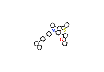 c1ccc(N(c2ccc(-c3ccc(-c4cccc5ccccc45)cc3)cc2)c2ccc(-c3cccc4c3oc3ccccc34)cc2)c(-c2ccc3sc4ccccc4c3c2)c1